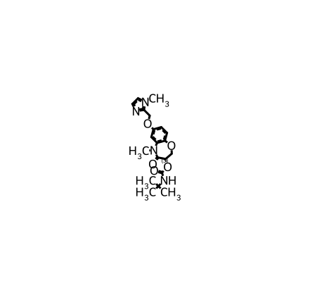 CN1C(=O)[C@@H](OC(=O)NC(C)(C)C)COc2ccc(OCc3nccn3C)cc21